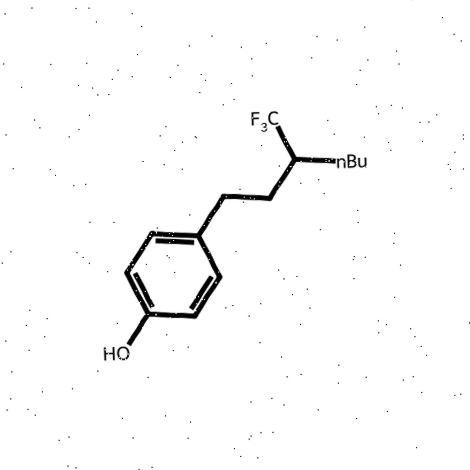 CCCCC(CCc1ccc(O)cc1)C(F)(F)F